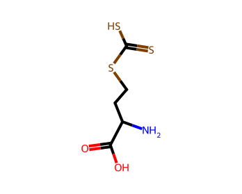 NC(CCSC(=S)S)C(=O)O